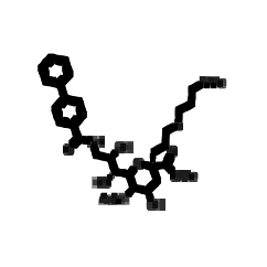 CNCCCSCCC[C@]1(C(=O)OC)C[C@@H](O)[C@@H](NC(C)=O)C([C@H](O)[C@H](O)CNC(=O)c2ccc(-c3ccccc3)cc2)O1